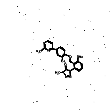 COc1cccc(-n2nnn(C)c2=O)c1COc1ccc(-c2ccnc(C)n2)cc1C